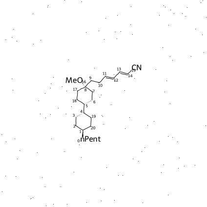 CCCCC[C@H]1CC[C@H]([C@H]2CC[C@@](CCC=CC=CC#N)(OC)CC2)CC1